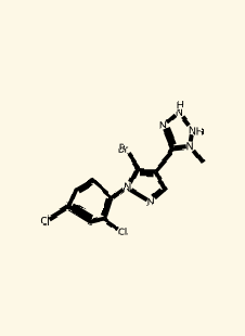 CN1NNN=C1c1cnn(-c2ccc(Cl)cc2Cl)c1Br